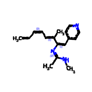 C=C\C=C/C=C(C)/C(=C\c1ccncc1)/N=C(/C)NC